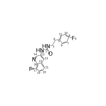 O=C(NCCc1ccc(F)cc1)Nc1cnc2c(F)cccc2c1